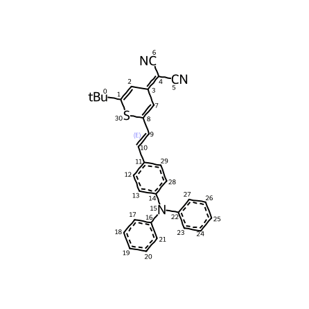 CC(C)(C)C1=CC(=C(C#N)C#N)C=C(/C=C/c2ccc(N(c3ccccc3)c3ccccc3)cc2)S1